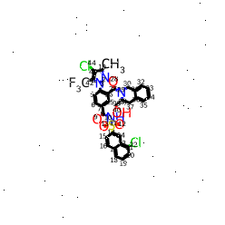 Cc1nn(-c2ccc(C(=O)NS(=O)(=O)c3ccc4cccc(Cl)c4c3)cc2C(=O)N2Cc3ccccc3C[C@H]2CO)c(C(F)(F)F)c1Cl